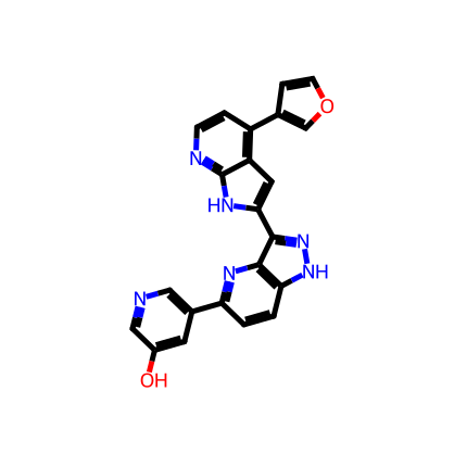 Oc1cncc(-c2ccc3[nH]nc(-c4cc5c(-c6ccoc6)ccnc5[nH]4)c3n2)c1